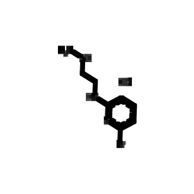 Cl.NNCCNc1cccc(Br)n1